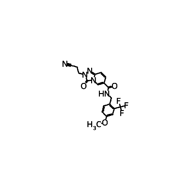 COc1ccc(CNC(=O)c2ccc3nn(CCC#N)c(=O)n3c2)c(C(F)(F)F)c1